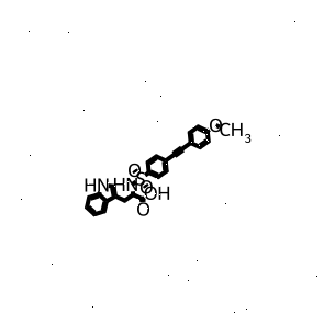 COc1ccc(C#Cc2ccc(S(=O)(=O)NC(Cc3c[nH]c4ccccc34)C(=O)O)cc2)cc1